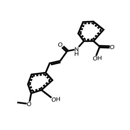 COc1ccc(C=CC(=O)Nc2ccccc2C(=O)O)cc1O